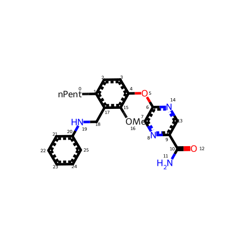 CCCCCc1ccc(Oc2cnc(C(N)=O)cn2)c(OC)c1CNc1ccccc1